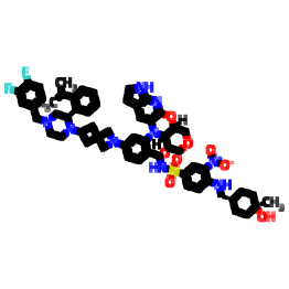 CC(C)c1ccccc1[C@@H]1CN(Cc2ccc(F)c(F)c2)CCN1C1CC2(C1)CN(c1ccc(C(=O)NS(=O)(=O)c3ccc(NC[C@H]4CC[C@](C)(O)CC4)c([N+](=O)[O-])c3)c(N3c4cc5cc[nH]c5nc4O[C@H]4COCC[C@@H]43)c1)C2